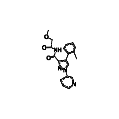 COCC(=O)NC(=O)c1nn(-c2cccnc2)cc1-c1ccccc1C